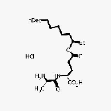 CCCCCCCCCCCCCCCC(CC)OC(=O)CC[C@@H](NC(=O)[C@H](C)N)C(=O)O.Cl